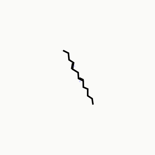 [CH2]CC/C=C/C/C=C/CCCCC